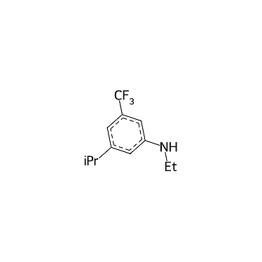 CCNc1cc(C(C)C)cc(C(F)(F)F)c1